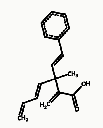 C=CC=CC(C)(C=Cc1ccccc1)C(=C)C(=O)O